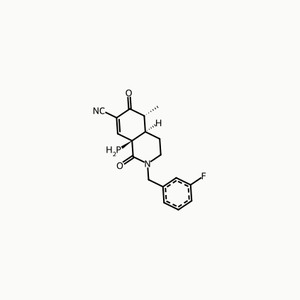 C[C@H]1C(=O)C(C#N)=C[C@@]2(P)C(=O)N(Cc3cccc(F)c3)CC[C@H]12